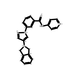 O=C(Nc1ccncc1)c1cccc(-n2cc(N3Cc4ccccc4C3)cn2)c1